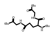 CC(C)(C)NC(CCC(=O)NCC(=O)C(C)(C)C)C(=O)NCC(=O)C(C)(C)C